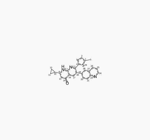 Cc1ccc(-c2nc3[nH]c(C4CC4)cc(=O)c3cc2-c2ccc3ncccc3c2)s1